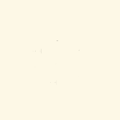 CC(C)c1ccccc1.OCCO